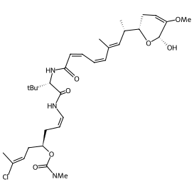 CNC(=O)O[C@H](C/C=C\NC(=O)[C@@H](NC(=O)\C=C/C=C\C(C)=C\[C@H](C)[C@@H]1CC=C(OC)[C@H](O)O1)C(C)(C)C)C/C=C(\C)Cl